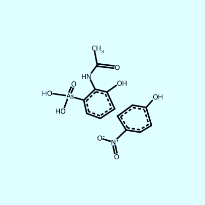 CC(=O)Nc1c(O)cccc1[As](=O)(O)O.O=[N+]([O-])c1ccc(O)cc1